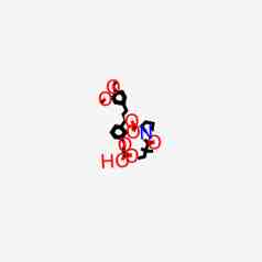 CCC(C)(C)C(=O)CN1CCC[C@H]1C(=O)O[C@H](CCc1ccc(OC)c(OC)c1)c1cccc(OCC(=O)O)c1